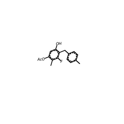 CC(=O)Oc1cc(O)c(Cc2ccc(C)cc2)c(F)c1C